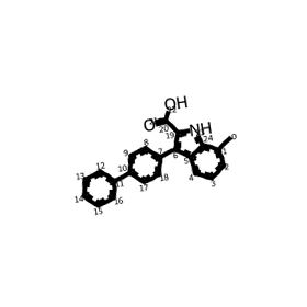 Cc1cccc2c(-c3ccc(-c4ccccc4)cc3)c(C(=O)O)[nH]c12